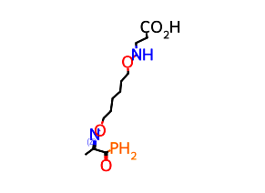 C/C(=N/OCCCCCCONCCC(=O)O)C(=O)P